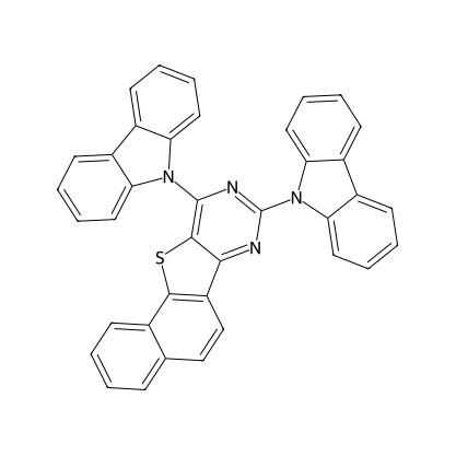 c1ccc2c(c1)ccc1c3nc(-n4c5ccccc5c5ccccc54)nc(-n4c5ccccc5c5ccccc54)c3sc21